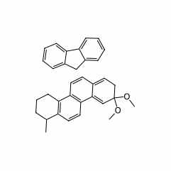 COC1(OC)C=c2c(ccc3c4c(ccc23)C(C)CCC4)=CC1.c1ccc2c(c1)Cc1ccccc1-2